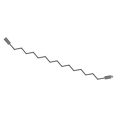 C#CCCCCCCCCCCCCCCCC#N